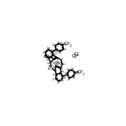 CCCCC1=C2CCC3=C(CCCC)[CH]([Zr+2][CH]1c1cccc(-c4ccc(C(F)(F)F)cc4)c12)c1cccc(-c2ccc(C(F)(F)F)cc2)c13.[Cl-].[Cl-]